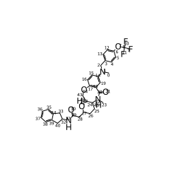 CN(Cc1ccc(OC(F)(F)F)cc1)c1ccc2c(c1)C(=O)N(C)[C@H]1CC[C@@H](CC(=O)NC3Cc4ccccc4C3)O[C@H]1CO2